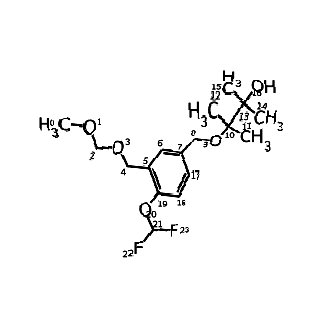 COCOCc1cc(COC(C)(C)C(C)(C)O)ccc1OC(F)F